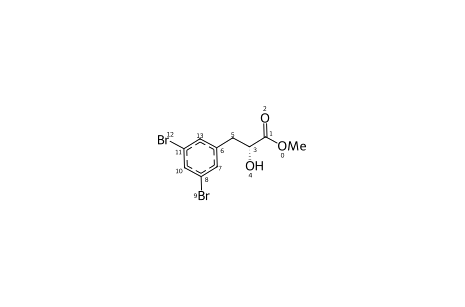 COC(=O)[C@H](O)Cc1cc(Br)cc(Br)c1